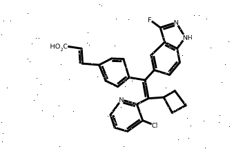 O=C(O)C=Cc1ccc(C(=C(c2ncccc2Cl)C2CCC2)c2ccc3[nH]nc(F)c3c2)cc1